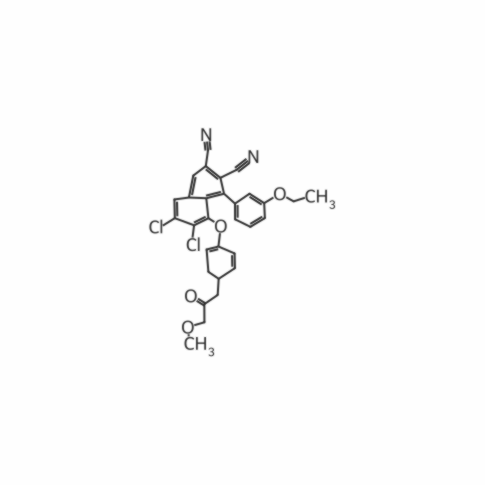 CCOc1cccc(-c2c(C#N)c(C#N)cc3cc(Cl)c(Cl)c(OC4=CCC(CC(=O)COC)C=C4)c23)c1